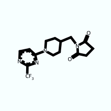 O=C1CCC(=O)N1CC1CCN(c2ccnc(C(F)(F)F)n2)CC1